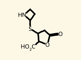 O=C1CC(SC2CCN2)C(C(=O)O)O1